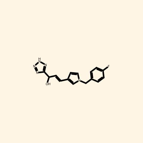 OC(C=Cc1ccn(Cc2ccc(F)cc2)c1)c1nn[nH]n1